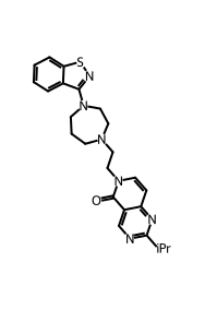 CC(C)c1ncc2c(=O)n(CCN3CCCN(c4nsc5ccccc45)CC3)ccc2n1